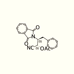 CC(=O)O[C@H](C#N)[C@H](Cc1ccccc1)N1C(=O)c2ccccc2C1=O